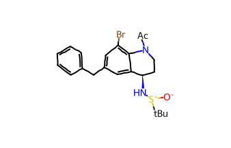 CC(=O)N1CC[C@@H](N[S+]([O-])C(C)(C)C)c2cc(Cc3ccccc3)cc(Br)c21